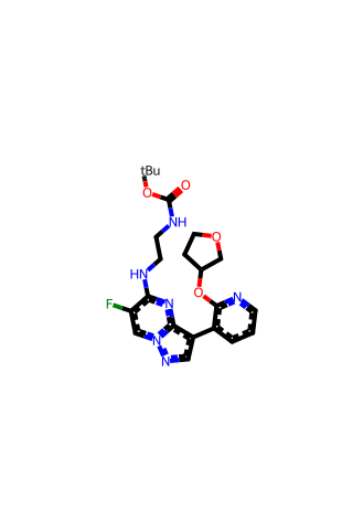 CC(C)(C)OC(=O)NCCNc1nc2c(-c3cccnc3OC3CCOC3)cnn2cc1F